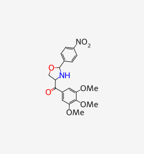 COc1cc(C(=O)C2COC(c3ccc([N+](=O)[O-])cc3)N2)cc(OC)c1OC